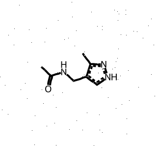 CC(=O)NCc1c[nH]nc1C